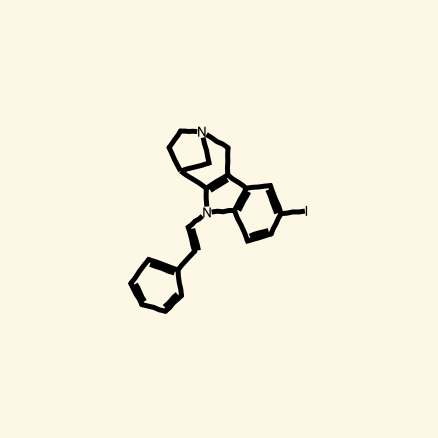 Ic1ccc2c(c1)c1c(n2/C=C/c2ccccc2)C2CCN(C1)C2